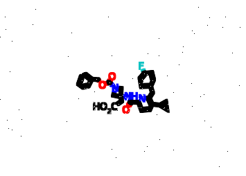 O=C(O)CC1(NC(=O)c2ccc(C3CC3)c(Cc3ccc(F)cc3)n2)CN(C(=O)OCc2ccccc2)C1